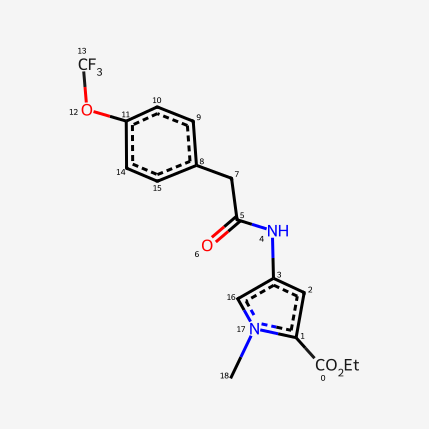 CCOC(=O)c1cc(NC(=O)Cc2ccc(OC(F)(F)F)cc2)cn1C